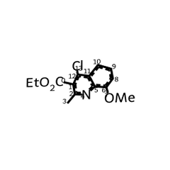 CCOC(=O)c1c(C)nc2c(OC)cccc2c1Cl